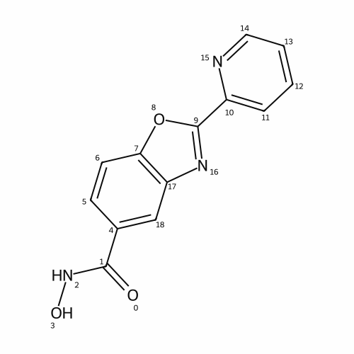 O=C(NO)c1ccc2oc(-c3ccccn3)nc2c1